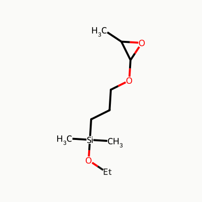 CCO[Si](C)(C)CCCOC1OC1C